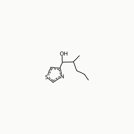 CCCC(C)C(O)c1cscn1